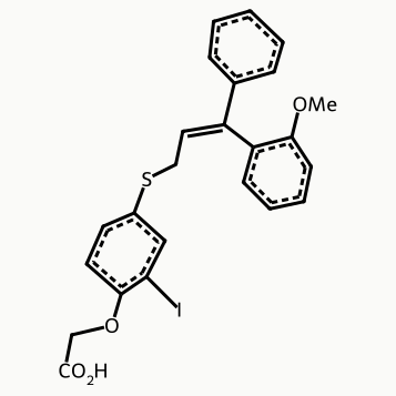 COc1ccccc1/C(=C\CSc1ccc(OCC(=O)O)c(I)c1)c1ccccc1